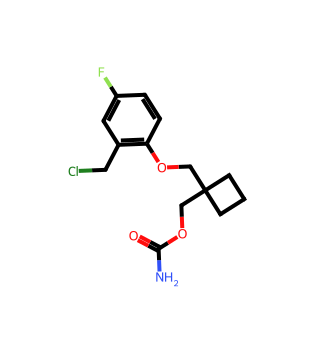 NC(=O)OCC1(COc2ccc(F)cc2CCl)CCC1